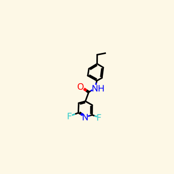 CCc1ccc(NC(=O)c2cc(F)nc(F)c2)cc1